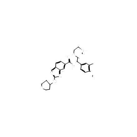 O=C(N[C@@H](c1ccc(OC(F)(F)F)c(F)c1)[C@H]1CNCCO1)c1ccc2cnc(NC3CCOCC3)nc2c1